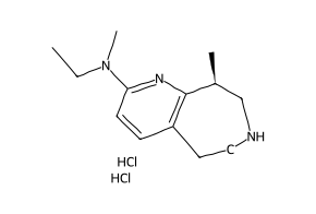 CCN(C)c1ccc2c(n1)[C@@H](C)CNCC2.Cl.Cl